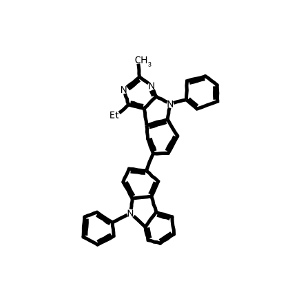 CCc1nc(C)nc2c1c1cc(-c3ccc4c(c3)c3ccccc3n4-c3ccccc3)ccc1n2-c1ccccc1